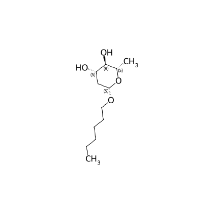 CCCCCCO[C@@H]1C[C@H](O)[C@@H](O)[C@H](C)O1